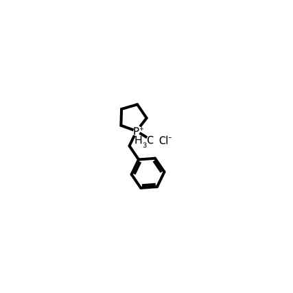 C[P+]1(Cc2ccccc2)CCCC1.[Cl-]